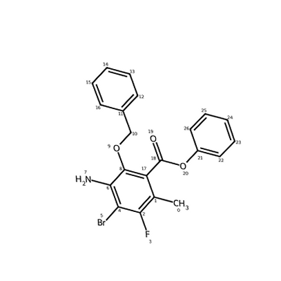 Cc1c(F)c(Br)c(N)c(OCc2ccccc2)c1C(=O)Oc1ccccc1